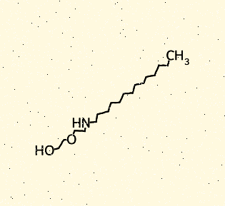 CCCCCCCCCCCCCCNCCOCCO